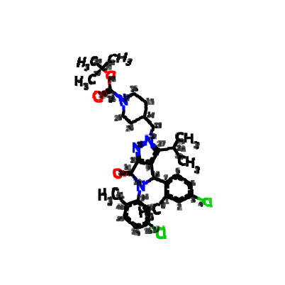 Cc1cc(Cl)ccc1C1c2c(nn(CC3CCN(C(=O)OC(C)(C)C)CC3)c2C(C)C)C(=O)N1c1cc(Cl)ccc1C